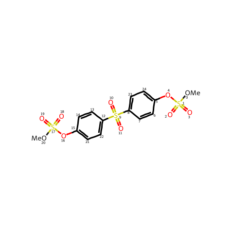 COS(=O)(=O)Oc1ccc(S(=O)(=O)c2ccc(OS(=O)(=O)OC)cc2)cc1